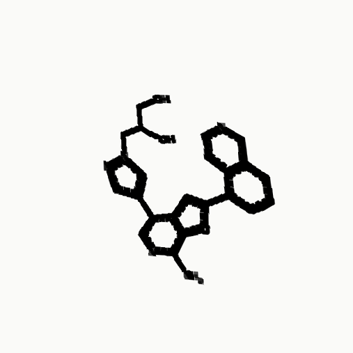 Nc1ncc(-c2cnn(CC(O)CO)c2)c2cc(-c3cccc4cnccc34)oc12